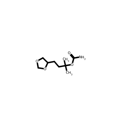 CC(C)(CCC1COCO1)OC(N)=O